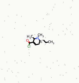 CCC[C@@H]1CC=C(C(=O)Cl)C(C)N1C